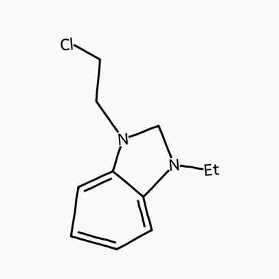 CCN1CN(CCCl)c2ccccc21